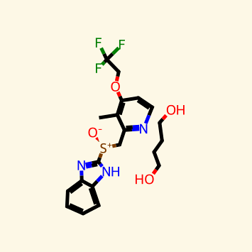 Cc1c(OCC(F)(F)F)ccnc1C[S@@+]([O-])c1nc2ccccc2[nH]1.OCCCCO